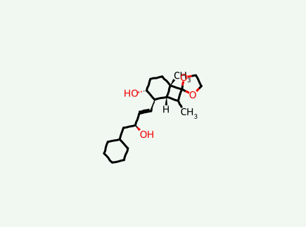 CC1[C@@H]2[C@@H](/C=C/[C@@H](O)CC3CCCCC3)[C@H](O)CC[C@]2(C)C12OCCO2